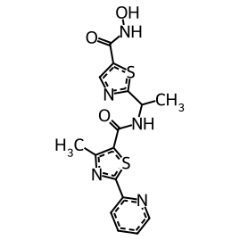 Cc1nc(-c2ccccn2)sc1C(=O)NC(C)c1ncc(C(=O)NO)s1